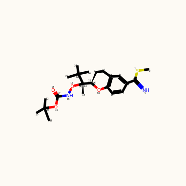 CSC(=N)c1ccc2c(c1)CC[C@H]([C@](C)(ONC(=O)OC(C)(C)C)C(C)(C)C)O2